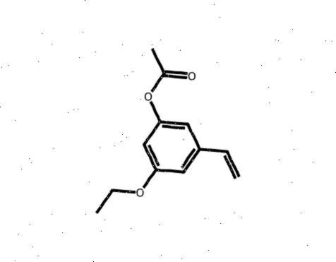 C=Cc1cc(OCC)cc(OC(C)=O)c1